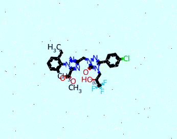 CCc1cccc(C)c1-n1nc(Cn2nc(-c3ccc(Cl)cc3)n(C[C@H](O)C(F)(F)F)c2=O)nc1C(=O)OC